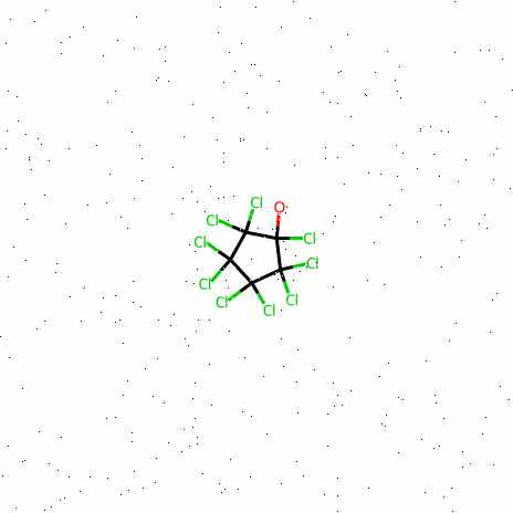 [O]C1(Cl)C(Cl)(Cl)C(Cl)(Cl)C(Cl)(Cl)C1(Cl)Cl